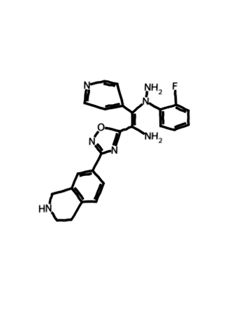 N/C(=C(/c1ccncc1)N(N)c1ccccc1F)c1nc(-c2ccc3c(c2)CNCC3)no1